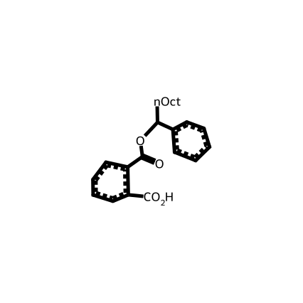 CCCCCCCCC(OC(=O)c1ccccc1C(=O)O)c1ccccc1